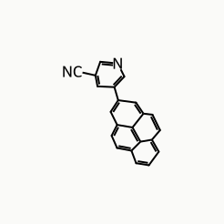 N#Cc1cncc(-c2cc3ccc4cccc5ccc(c2)c3c45)c1